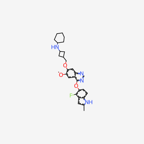 COc1cc2c(Oc3ccc4[nH]c(C)cc4c3F)ncnc2cc1OCC1CC(NC2CCCCC2)C1